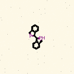 C1=PC(c2[pH]cc3ccccc23)c2ccccc21